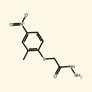 Cc1cc([N+](=O)[O-])ccc1SCC(=O)NN